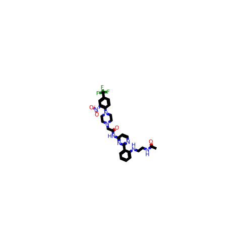 CC(=O)NCCNc1ccccc1-c1nccc(NC(=O)CN2CCN(c3ccc(C(F)(F)F)cc3[N+](=O)[O-])CC2)n1